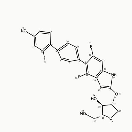 N#Cc1ccc(-c2ccc(-c3c(F)cc4[nH]c(O[C@@H]5CO[C@H](CO)[C@H]5O)nc4c3F)cc2)c(I)c1